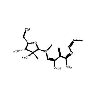 C=C(/C(=C\N(C)[C@@H]1O[C@H](CO)[C@@H](O)[C@@]1(C)O)C(=O)O)/C(N)=N\C=N/C